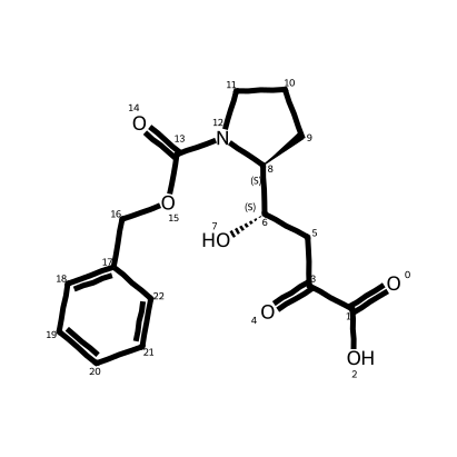 O=C(O)C(=O)C[C@H](O)[C@@H]1CCCN1C(=O)OCc1ccccc1